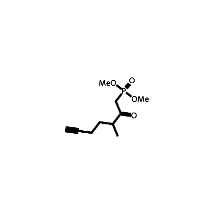 C#CCCC(C)C(=O)CP(=O)(OC)OC